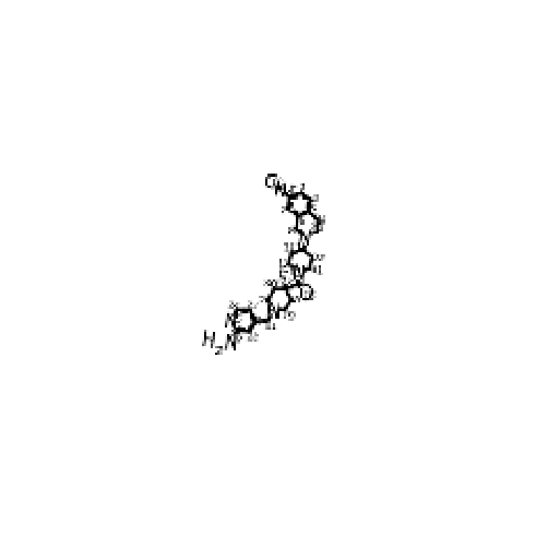 [C-]#[N+]c1ccc2c(c1)CN(C1CCN(C(=O)C3(F)CCN(Cc4ccnc(N)c4)CC3)CC1)CC2